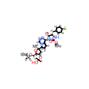 C[C@@H]1[C@H](OC(C)(C)O)[C@@H](CO[Si](C)(C)C(C)(C)C)O[C@@]1(C#N)c1ccc2c(NC(=O)[C@H](Cc3ccc(F)cc3)NC(=O)OC(C)(C)C)nncn12